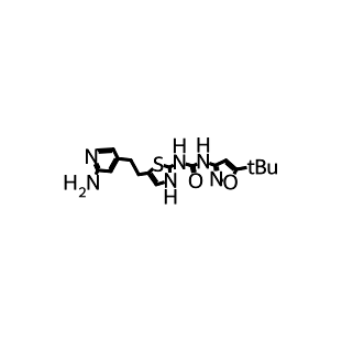 CC(C)(C)c1cc(NC(=O)NC2NC=C(CCc3ccnc(N)c3)S2)no1